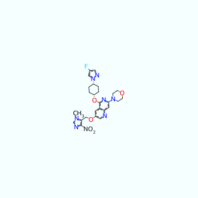 Cn1cnc([N+](=O)[O-])c1COc1cnc2cc(N3CCOCC3)nc(O[C@H]3CC[C@@H](n4cc(F)cn4)CC3)c2c1